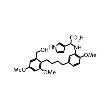 COc1cc(CO)c(CCCCc2ccc(OC)c(NC(C(=O)O)c3cc[nH]c3)c2)c(OC)c1